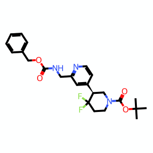 CC(C)(C)OC(=O)N1CCC(F)(F)[C@@H](c2ccnc(CNC(=O)OCc3ccccc3)c2)C1